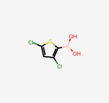 OB(O)c1sc(Cl)cc1Cl